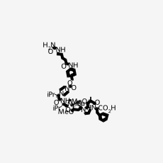 CC[C@H](C)[C@@H](C(CC(=O)N1CCC[C@H]1[C@H](OC)[C@@H](C)C(=O)N[C@@H](Cc1ccccc1)C(=O)O)OC)N(C)C(=O)[C@@H](NC(=O)[C@H](C(C)C)N1CCN(C(=O)OCc2ccc(NC(=O)CCCCNC(N)=O)cc2)CC1)C(C)C